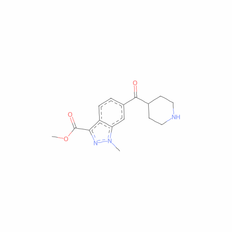 COC(=O)c1nn(C)c2cc(C(=O)C3CCNCC3)ccc12